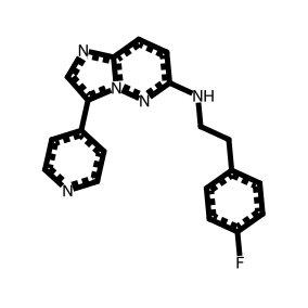 Fc1ccc(CCNc2ccc3ncc(-c4ccncc4)n3n2)cc1